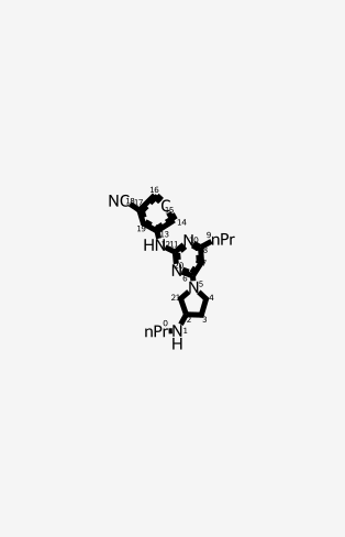 CCCNC1CCN(c2cc(CCC)nc(Nc3cccc(C#N)c3)n2)C1